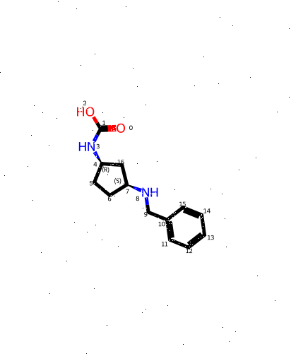 O=C(O)N[C@@H]1CC[C@H](NCc2ccccc2)C1